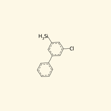 [SiH3]c1cc(Cl)cc(-c2ccccc2)c1